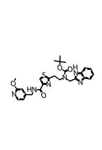 COc1cc(CNC(=O)c2csc(CCN(Cc3nc4ccccc4[nH]3)C(=O)OC(C)(C)C)n2)ccn1